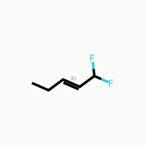 CC/C=C/C(F)F